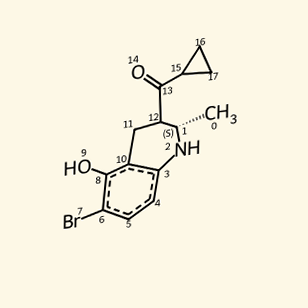 C[C@@H]1Nc2ccc(Br)c(O)c2CC1C(=O)C1CC1